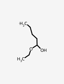 [CH2]CCCC(O)OCC